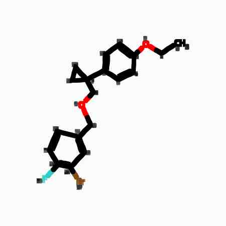 CCOc1ccc(C2(COCc3ccc(F)c(Br)c3)CC2)cc1